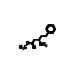 COC(=O)C[C@@H](N)CCc1ccccc1